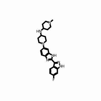 CN1CCC(NC2CCN(c3ccc4nc(-c5n[nH]c6cc(F)ccc56)[nH]c4c3)CC2)CC1